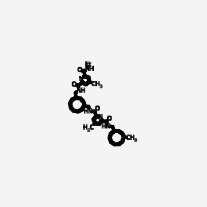 CCNC(=O)c1cc(C)cc(C(=O)NCc2ccccccc(CNC(=O)c3cc(C)cc(C(=O)NCc4ccccccc(C)cc4)n3)cc2)n1